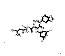 CC(C)CNS(=O)(=O)NC(=O)N[C@@H](Cc1cc(F)cc(F)c1)C(=O)N(C)c1ccc2scnc2c1